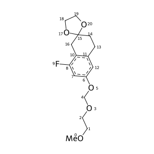 COCCOCOc1cc(F)c2c(c1)CCC1(C2)OCCO1